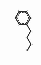 [CH2]CCCc1ccccc1